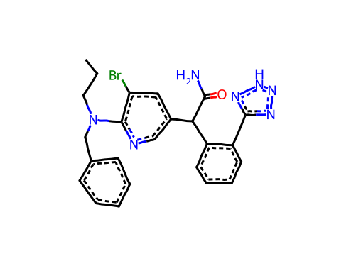 CCCN(Cc1ccccc1)c1ncc(C(C(N)=O)c2ccccc2-c2nn[nH]n2)cc1Br